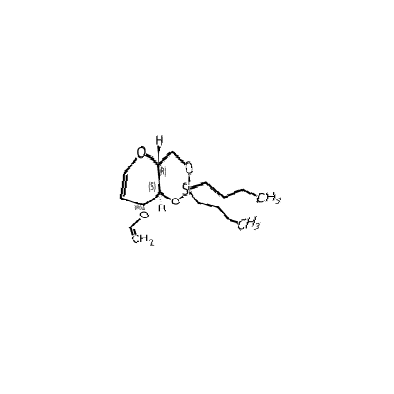 C=CO[C@@H]1C=CO[C@@H]2CO[Si](CCCC)(CCCC)O[C@@H]12